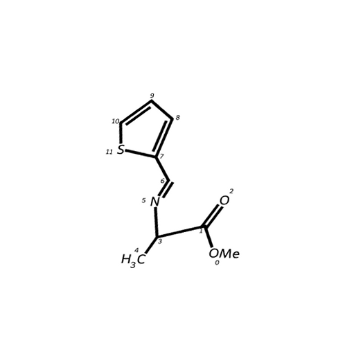 COC(=O)C(C)N=Cc1cccs1